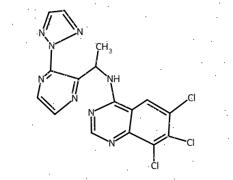 CC(Nc1ncnc2c(Cl)c(Cl)c(Cl)cc12)c1nccnc1-n1nccn1